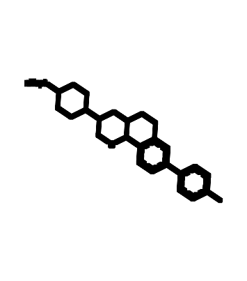 CCCCCCCC1CCC(C2COC3c4ccc(-c5ccc(C)cc5)cc4CCC3C2)CC1